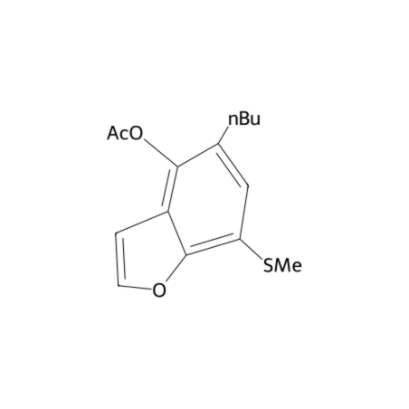 CCCCc1cc(SC)c2occc2c1OC(C)=O